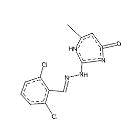 Cc1cc(=O)nc(NN=Cc2c(Cl)cccc2Cl)[nH]1